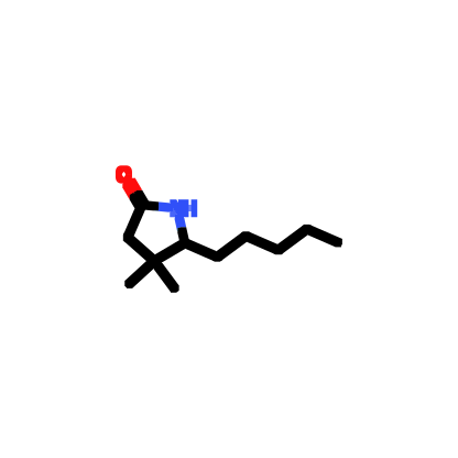 CCCCCC1NC(=O)CC1(C)C